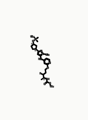 C[C@H](NC(=O)OC(C)(C)C)C(F)CCOc1cc(Nc2cc([C@H]3CC[C@@H](O[Si](C)(C)C(C)(C)C)C3)nn2C(C)(C)C)ccn1